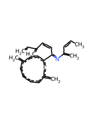 C=CC(=C)/C=C\C(=N/C(=C)/C=C\C)c1ccc(=C)ccccc(=C)c1